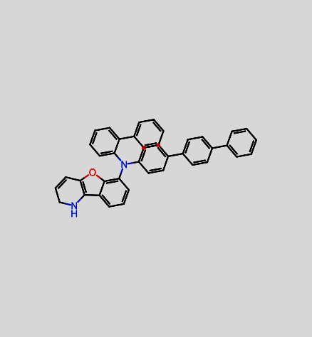 C1=Cc2oc3c(N(c4ccc(-c5ccc(-c6ccccc6)cc5)cc4)c4ccccc4-c4ccccc4)cccc3c2NC1